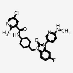 CNc1ccc(-n2c(=O)n(CC3CCC(NC(=O)c4cc(Cl)cnc4C)CC3)c3ccc(F)cc32)cn1